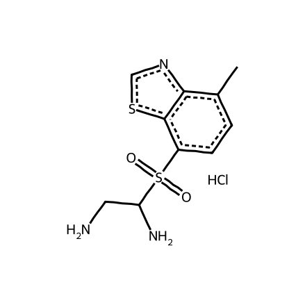 Cc1ccc(S(=O)(=O)C(N)CN)c2scnc12.Cl